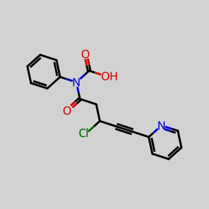 O=C(O)N(C(=O)CC(Cl)C#Cc1ccccn1)c1ccccc1